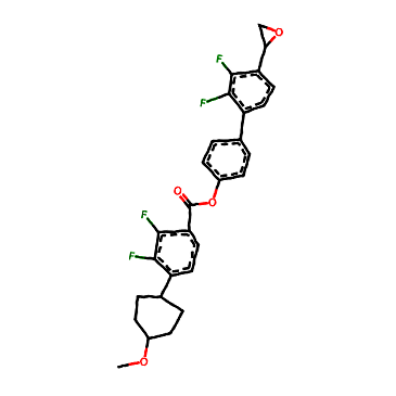 COC1CCC(c2ccc(C(=O)Oc3ccc(-c4ccc(C5CO5)c(F)c4F)cc3)c(F)c2F)CC1